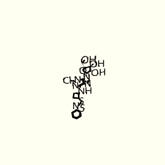 OC[C@H]1O[C@@H](n2cnc3c(N[C@H]4CC[C@H]4Sc4nc5ccccc5s4)nc(Cl)nc32)[C@H](O)[C@@H]1O